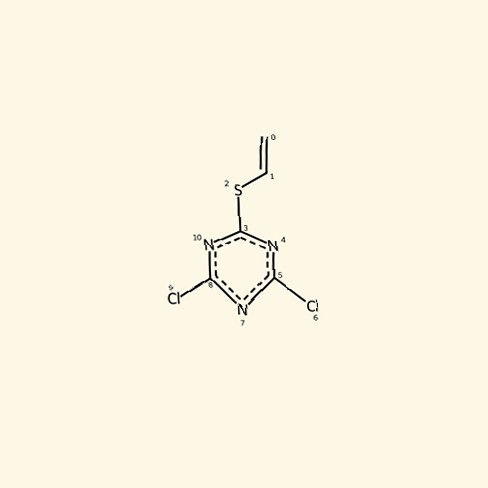 C=CSc1nc(Cl)nc(Cl)n1